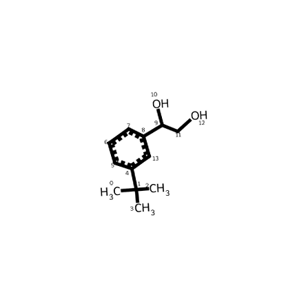 CC(C)(C)c1cccc(C(O)CO)c1